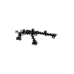 CC(OC(=O)CO[N+](=O)[O-])C(=O)Oc1ccc(CC(NC(=O)CCCCCO[N+](=O)[O-])C(=O)OCC(=O)OCCCCCC(=O)OCCCCO[N+](=O)[O-])cc1